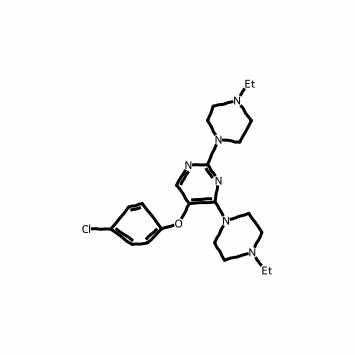 CCN1CCN(c2ncc(Oc3ccc(Cl)cc3)c(N3CCN(CC)CC3)n2)CC1